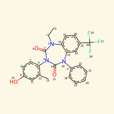 CCN1C(=O)N(c2ccc(O)cc2C)C(=O)N(c2ccccc2)c2cc(C(F)(F)F)ccc21